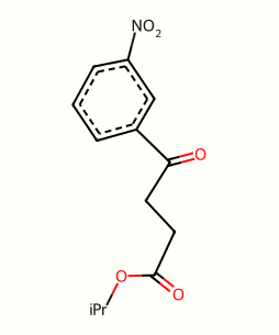 CC(C)OC(=O)CCC(=O)c1cccc([N+](=O)[O-])c1